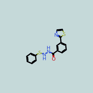 O=C(NNSc1ccccc1)c1cccc(-c2nccs2)c1